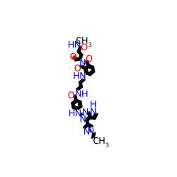 CCCn1cc(-c2nc(Nc3ccc(C(=O)NCCCCNc4cccc5c4C(=O)N(C(C=O)CCC(=O)NC)C5=O)cc3)nc3[nH]ccc23)cn1